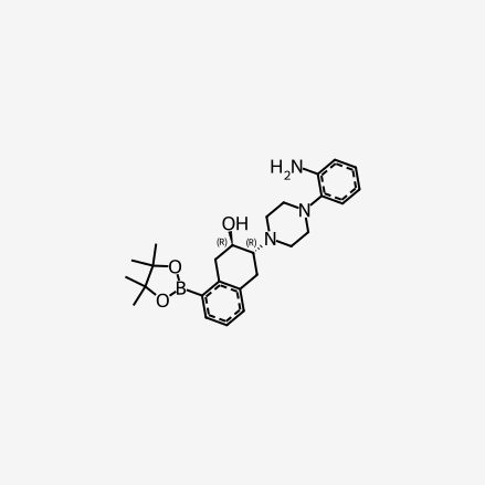 CC1(C)OB(c2cccc3c2C[C@@H](O)[C@H](N2CCN(c4ccccc4N)CC2)C3)OC1(C)C